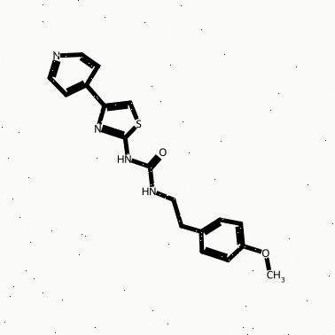 COc1ccc(CCNC(=O)Nc2nc(-c3ccncc3)cs2)cc1